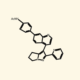 CC(=O)Nc1ccc(-c2ccc3c(-c4c(-c5ccccn5)nn5c4CCC5)ccnc3c2)cc1